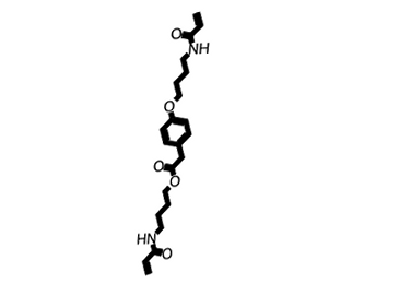 C=CC(=O)NCCCCOC(=O)Cc1ccc(OCCCCNC(=O)C=C)cc1